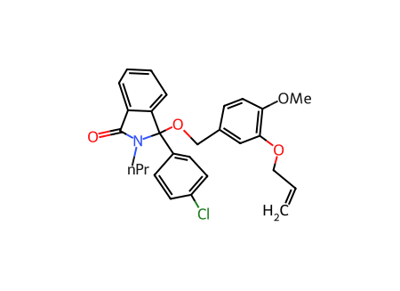 C=CCOc1cc(COC2(c3ccc(Cl)cc3)c3ccccc3C(=O)N2CCC)ccc1OC